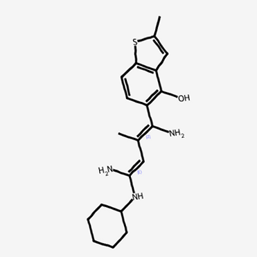 CC(/C=C(\N)NC1CCCCC1)=C(/N)c1ccc2sc(C)cc2c1O